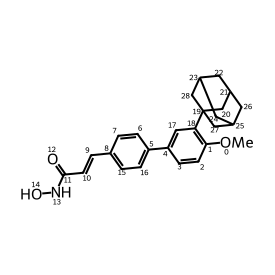 COc1ccc(-c2ccc(/C=C/C(=O)NO)cc2)cc1C12CC3CC(CC(C3)C1)C2